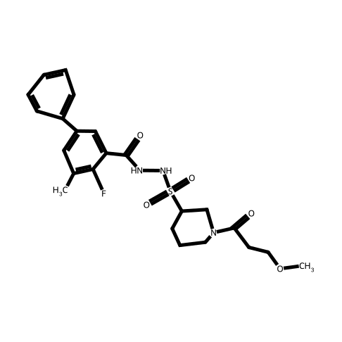 COCCC(=O)N1CCCC(S(=O)(=O)NNC(=O)c2cc(-c3ccccc3)cc(C)c2F)C1